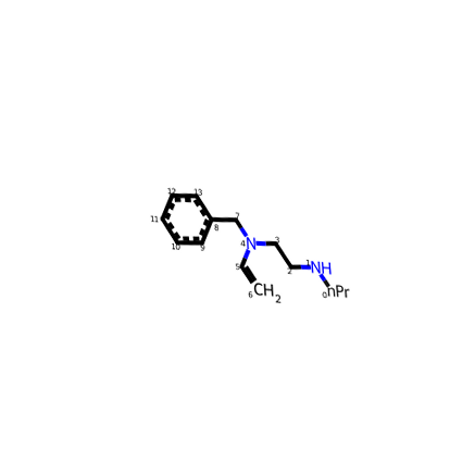 [CH2]CCNCCN(C=C)Cc1ccccc1